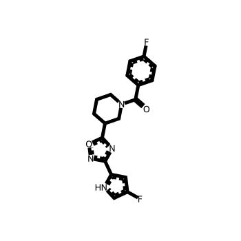 O=C(c1ccc(F)cc1)N1CCCC(c2nc(-c3cc(F)c[nH]3)no2)C1